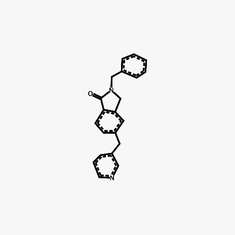 O=C1c2ccc(Cc3cccnc3)cc2CN1Cc1ccccc1